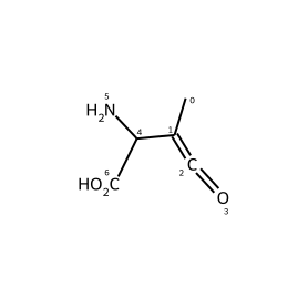 CC(=C=O)C(N)C(=O)O